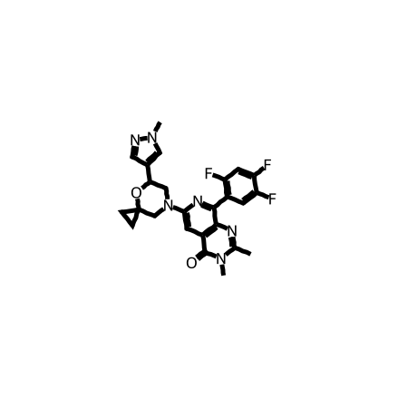 Cc1nc2c(-c3cc(F)c(F)cc3F)nc(N3CC(c4cnn(C)c4)OC4(CC4)C3)cc2c(=O)n1C